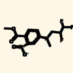 COC(=O)c1ccc(N(C)CC(F)C(F)F)cc1[N+](=O)[O-]